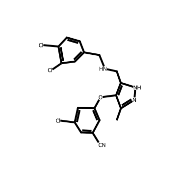 Cc1n[nH]c(CNCc2ccc(Cl)c(Cl)c2)c1Oc1cc(Cl)cc(C#N)c1